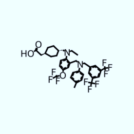 CCN(C[C@H]1CC[C@H](CC(=O)O)CC1)c1ccc(OC(F)(F)F)cc1CN(Cc1cc(C(F)(F)F)cc(C(F)(F)F)c1)c1ccc(C)cc1